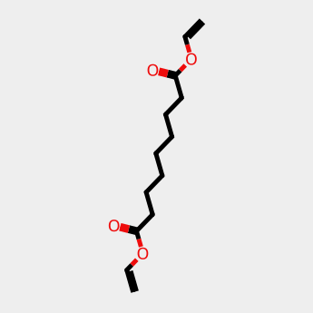 C=COC(=O)CCCCCCCC(=O)OC=C